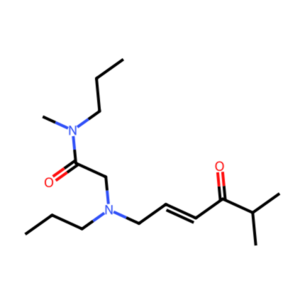 CCCN(C/C=C/C(=O)C(C)C)CC(=O)N(C)CCC